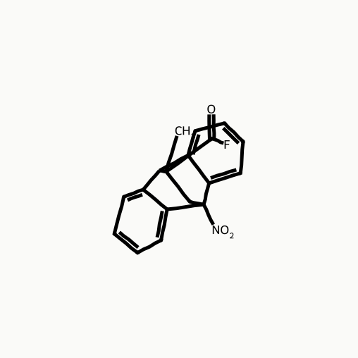 CC1(C(=O)F)CC2([N+](=O)[O-])c3ccccc3C1c1ccccc12